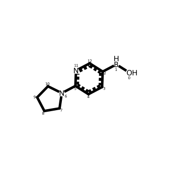 OBc1ccc(N2CCCC2)nc1